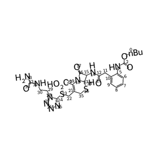 CCCCOC(=O)Nc1ccccc1CC(=O)NC1C(=O)N2C(C(=O)O)=C(CSc3nnnn3CCNC(N)=O)CS[C@H]12